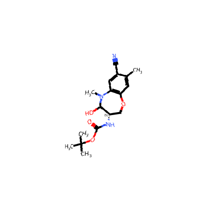 Cc1cc2c(cc1C#N)N(C)C(O)[C@@H](NC(=O)OC(C)(C)C)CO2